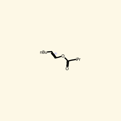 CCCC/C=C/OC(=O)C(C)C